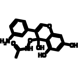 CC(=O)NOC1(O)C(c2cccc(N)c2)=COc2cc(O)cc(O)c21